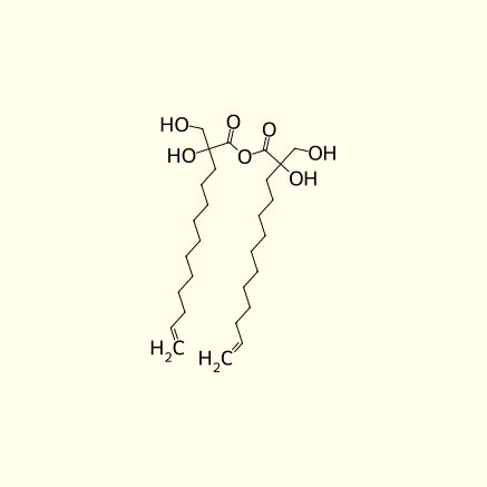 C=CCCCCCCCCCC(O)(CO)C(=O)OC(=O)C(O)(CO)CCCCCCCCCC=C